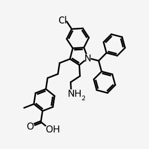 Cc1cc(CCCc2c(CCN)n(C(c3ccccc3)c3ccccc3)c3ccc(Cl)cc23)ccc1C(=O)O